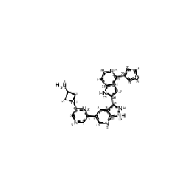 NC1CN(c2cncc(-c3cnc4[nH]nc(-c5cc6c(-c7ccoc7)nccc6[nH]5)c4c3)n2)C1